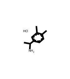 Cc1ccc(C(C)N)cc1C.Cl